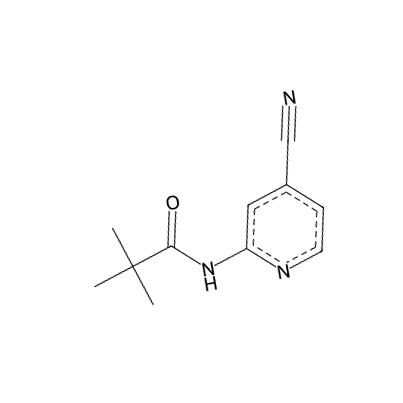 CC(C)(C)C(=O)Nc1cc(C#N)ccn1